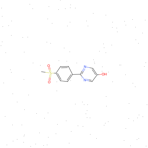 CS(=O)(=O)c1ccc(-c2ncc(O)cn2)cc1